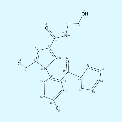 O=C(NCCO)c1nc(CCl)n(-c2ccc(Cl)cc2C(=O)c2ccccc2)n1